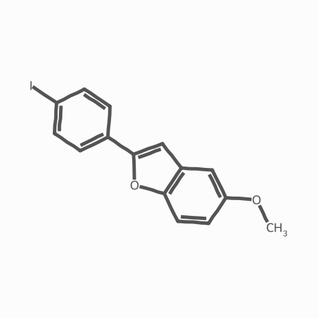 COc1ccc2oc(-c3ccc(I)cc3)cc2c1